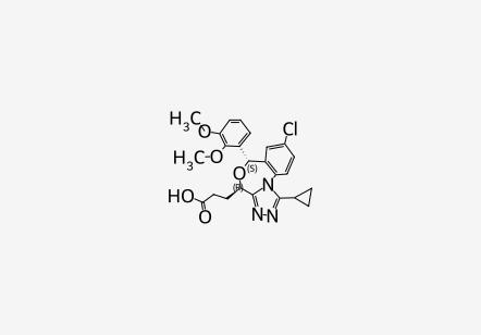 COc1cccc([C@H]2O[C@H](CCC(=O)O)c3nnc(C4CC4)n3-c3ccc(Cl)cc32)c1OC